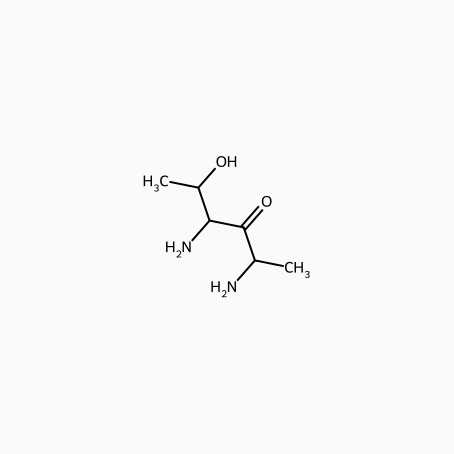 CC(N)C(=O)C(N)C(C)O